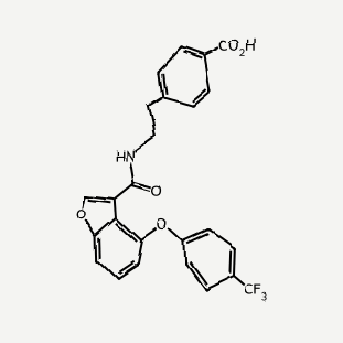 O=C(O)c1ccc(CCNC(=O)c2coc3cccc(Oc4ccc(C(F)(F)F)cc4)c23)cc1